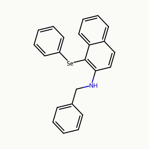 c1ccc(CNc2ccc3ccccc3c2[Se]c2ccccc2)cc1